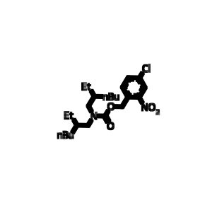 CCCCC(CC)CN(CC(CC)CCCC)C(=O)OCc1ccc(Cl)cc1[N+](=O)[O-]